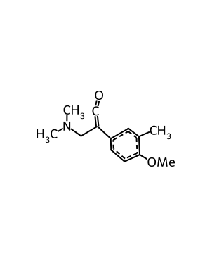 COc1ccc(C(=C=O)CN(C)C)cc1C